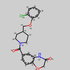 O=C1COc2ccc(C(=O)N3CCC(COc4ccccc4Cl)CC3)cc2N1